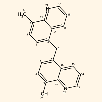 Cc1ccc(Cc2ccc(O)c3ncccc23)c2cccnc12